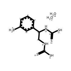 Bc1cccc(C(CNC(=S)S)NC(=S)S)c1.O.O